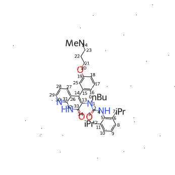 CCCCN(C(=O)Nc1c(C(C)C)cccc1C(C)C)c1c(-c2cccc(OCCCNC)c2)c2cccnc2[nH]c1=O